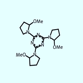 COC1CCCN1c1nc(N2CCCC2OC)nc(N2CCCC2OC)n1